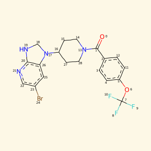 O=C(c1ccc(OC(F)(F)F)cc1)N1CCC(N2CNc3ncc(Br)cc32)CC1